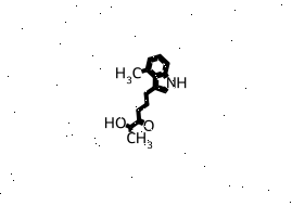 Cc1cccc2[nH]cc(CCCC(=O)C(C)O)c12